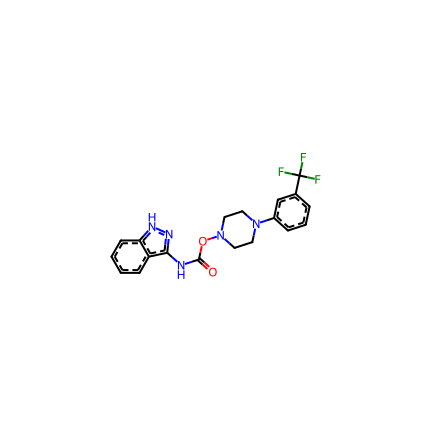 O=C(Nc1n[nH]c2ccccc12)ON1CCN(c2cccc(C(F)(F)F)c2)CC1